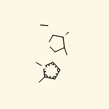 C[C@@]1(O)[C@H](O)[C@@H](CO)O[C@H]1c1ccc(C#N)n1N